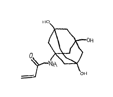 C=CC(=O)NC12CC3(O)CC(O)(CC(O)(C3)C1)C2